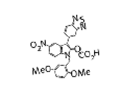 COc1ccc(OC)c(Cn2c(OC(=O)O)c(-c3ccc4nsnc4c3)c3cc([N+](=O)[O-])ccc32)c1